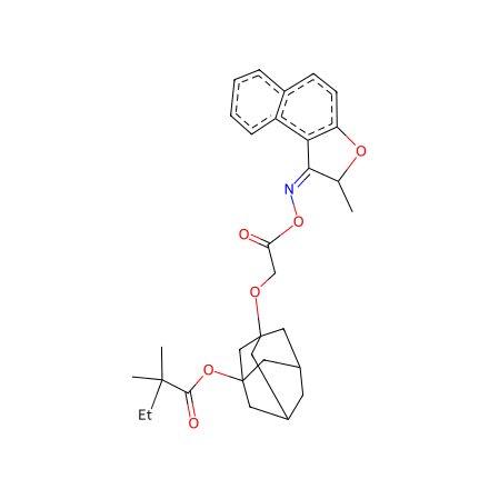 CCC(C)(C)C(=O)OC12CC3CC(CC(OCC(=O)ON=C4c5c(ccc6ccccc56)OC4C)(C3)C1)C2